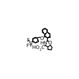 O=C(NC(C(=O)O)C1CCCC1)c1ccc2ccccc2c1OCc1ccc(S(F)(F)F)cc1